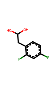 OC(O)Cc1ccc(F)cc1F